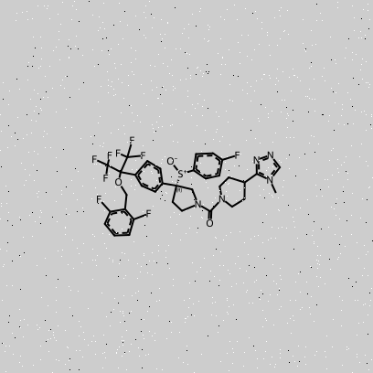 Cn1cnnc1C1CCN(C(=O)N2CC[C@](c3ccc(C(OCc4c(F)cccc4F)(C(F)(F)F)C(F)(F)F)cc3)([S+]([O-])c3ccc(F)cc3)C2)CC1